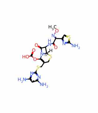 CON=C(C(=O)NC1C(=O)N2C(OC(=O)O)=C(CSc3nc(N)cc(N)n3)CS[C@@H]12)c1csc(N)n1